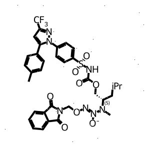 Cc1ccc(-c2cc(C(F)(F)F)nn2-c2ccc(S(=O)(=O)NC(=O)OC[C@H](CC(C)C)N(C)[N+]([O-])=NOCN3C(=O)c4ccccc4C3=O)cc2)cc1